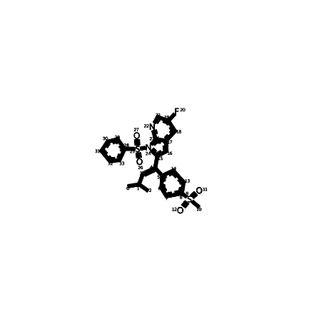 CC(C)/C=C(\c1ccc(S(C)(=O)=O)cc1)c1cc2cc(F)cnc2n1S(=O)(=O)c1ccccc1